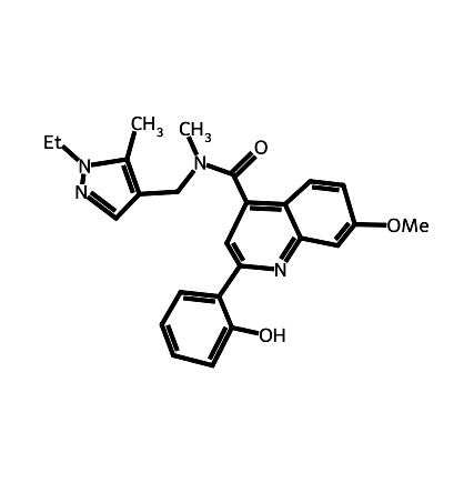 CCn1ncc(CN(C)C(=O)c2cc(-c3ccccc3O)nc3cc(OC)ccc23)c1C